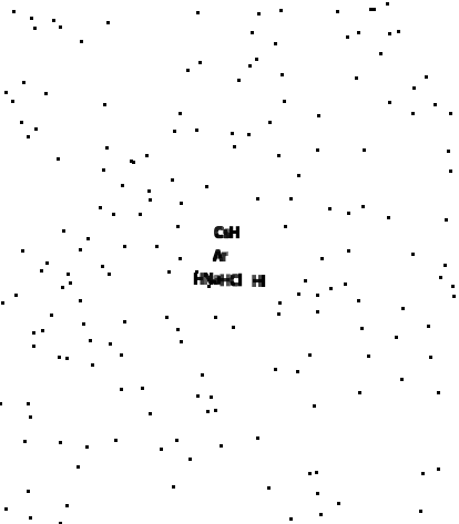 Cl.I.[Ar].[CsH].[NaH]